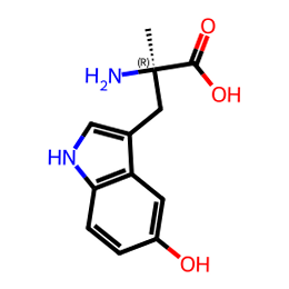 C[C@@](N)(Cc1c[nH]c2ccc(O)cc12)C(=O)O